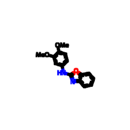 COc1ccc(Nc2nc3ccccc3o2)cc1OC